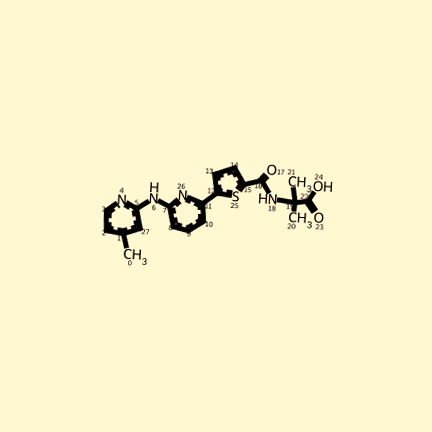 Cc1ccnc(Nc2cccc(-c3ccc(C(=O)NC(C)(C)C(=O)O)s3)n2)c1